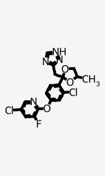 CC1COC(Cc2nc[nH]n2)(c2ccc(Oc3ncc(Cl)cc3F)cc2Cl)O1